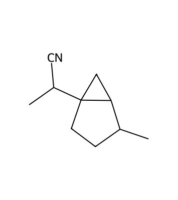 CC1CCC2(C(C)C#N)CC12